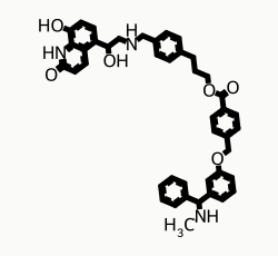 CNC(c1ccccc1)c1cccc(OCc2ccc(C(=O)OCCCc3ccc(CNCC(O)c4ccc(O)c5[nH]c(=O)ccc45)cc3)cc2)c1